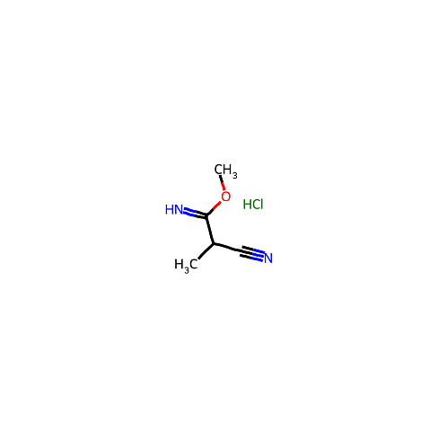 COC(=N)C(C)C#N.Cl